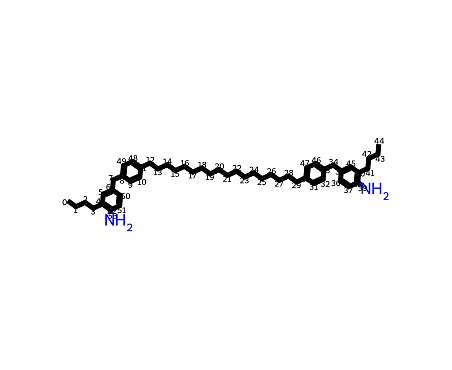 CCCCc1cc(Cc2ccc(CCCCCCCCCCCCCCCCCCc3ccc(Cc4ccc(N)c(CCCC)c4)cc3)cc2)ccc1N